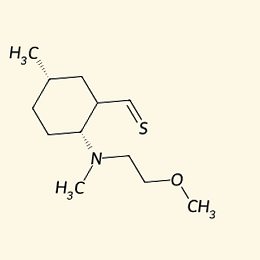 COCCN(C)[C@@H]1CC[C@H](C)CC1C=S